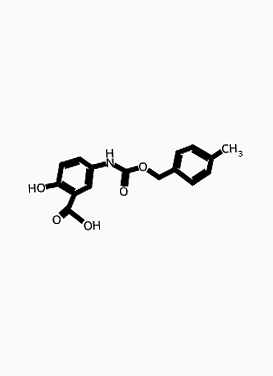 Cc1ccc(COC(=O)Nc2ccc(O)c(C(=O)O)c2)cc1